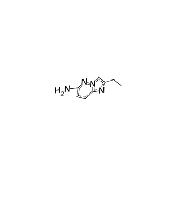 CCc1cn2nc(N)ccc2n1